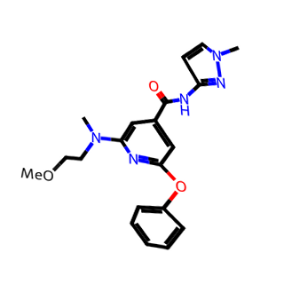 COCCN(C)c1cc(C(=O)Nc2ccn(C)n2)cc(Oc2ccccc2)n1